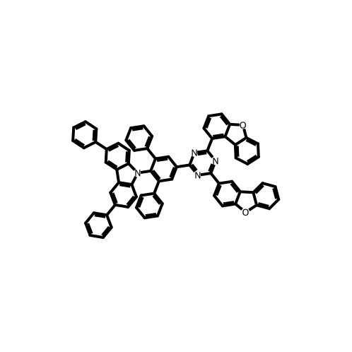 c1ccc(-c2ccc3c(c2)c2cc(-c4ccccc4)ccc2n3-c2c(-c3ccccc3)cc(-c3nc(-c4ccc5oc6ccccc6c5c4)nc(-c4cccc5oc6ccccc6c45)n3)cc2-c2ccccc2)cc1